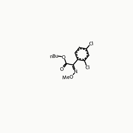 CCCCOC(=O)C(=NOC)c1c[c]c(Cl)cc1Cl